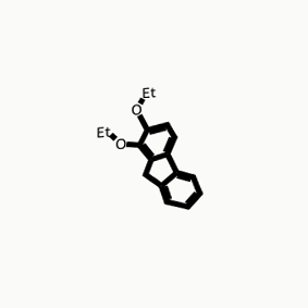 CCOc1ccc2c(c1OCC)Cc1ccccc1-2